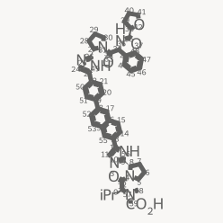 CC(C)[C@@H](C(=O)N1CCC[C@H]1c1ncc(-c2ccc3cc(-c4ccc(-c5cnc([C@@H]6CCCN6C(=O)[C@H](NC(=O)[C@H]6CCCO6)c6ccccc6)[nH]5)cc4)ccc3c2)[nH]1)N(C)C(=O)O